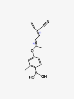 C=C/C(C#N)=C\C=C(/C)Oc1ccc(B(O)O)c(C)c1